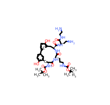 CC(C)(C)OC(=O)NCCC[C@@H]1NC(=O)[C@@H](NC(=O)OC(C)(C)C)Cc2cc(ccc2O)-c2ccc(O)c(c2)C[C@@H](C(=O)N[C@@H](CCN)C(=O)NCCN)NC1=O